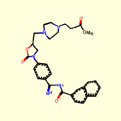 COC(=O)CCN1CCN(CC2CN(c3ccc(C(=N)NC(=O)c4ccc5ccccc5c4)cc3)C(=O)O2)CC1